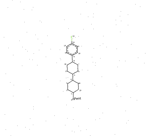 CCCCCC1CCC(C2CCC(c3ccc(F)cc3)CC2)CC1